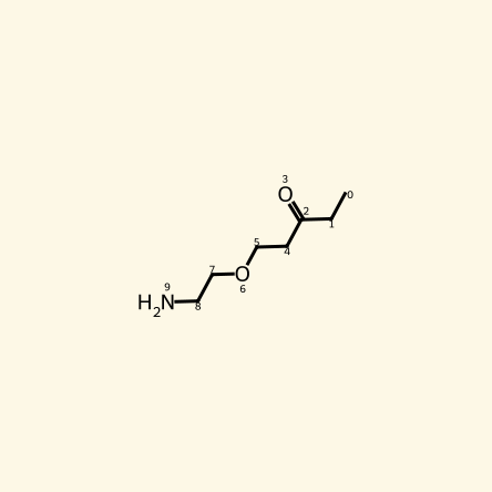 CCC(=O)CCOCCN